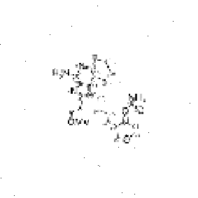 COCCc1nc2c(N)nc3c(c2n1CCCCC1COCCN1OC(N)=O)CCCC3